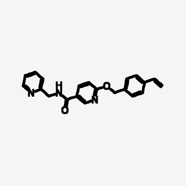 C=Cc1ccc(COc2ccc(C(=O)NCc3ccccn3)cn2)cc1